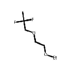 CCOCCOCC(C)(F)F